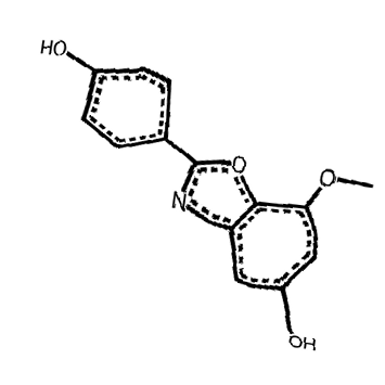 COc1cc(O)cc2nc(-c3ccc(O)cc3)oc12